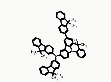 CC1(C)C2=C(CCC=C2)c2ccc(-c3cc4c5c(c3)c3cc(N(C6=CC7=C(CC6)c6ccccc6C7(C)C)c6ccc7c(c6)-c6ccccc6C7(C)C)ccc3n5-c3ccccc3C4(C)C)cc21